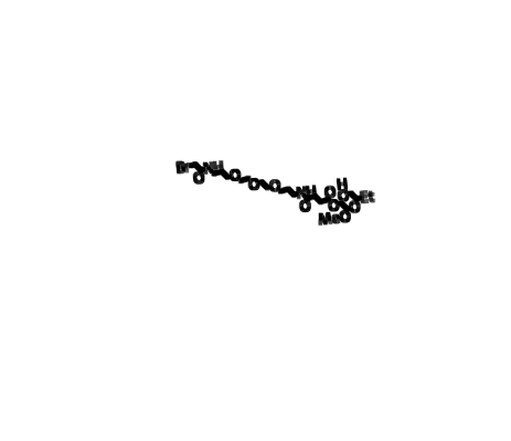 CCC(CO)OC(COC(=O)CCC(=O)NCCCOCCOCCOCCCNC(=O)CBr)OC